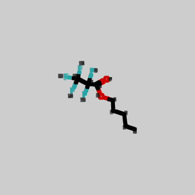 CCCCCOC(=O)C(F)(F)C(F)(F)F